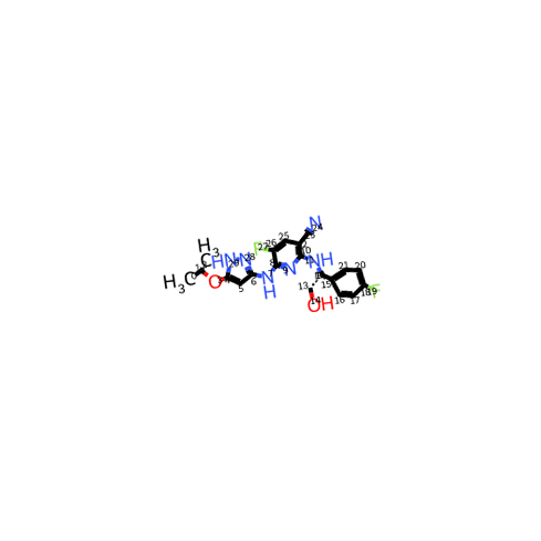 CC(C)Oc1cc(Nc2nc(N[C@@H](CO)c3ccc(F)cc3)c(C#N)cc2F)n[nH]1